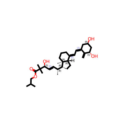 C=C1/C(=C\C=C2/CCC[C@]3(C)[C@@H]([C@H](C)/C=C/[C@H](O)C(C)(C)C(=O)OCC(C)C)CC[C@@H]23)C[C@@H](O)C[C@@H]1O